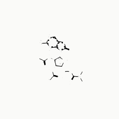 CC(=O)O[C@@H]1[C@@H](OC(C)=O)[C@@H](COC(=O)N(C)C)O[C@H]1n1c(=O)sc2cnc(N)nc21